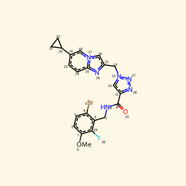 COc1ccc(Br)c(CNC(=O)c2cn(Cc3cn4cc(C5CC5)ccc4n3)nn2)c1F